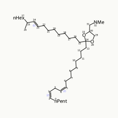 CCCCC/C=C\C/C=C\CCCCCCCCC1(CCCCCCCC/C=C/C(C)CCCCCC)OCC(CNC)O1